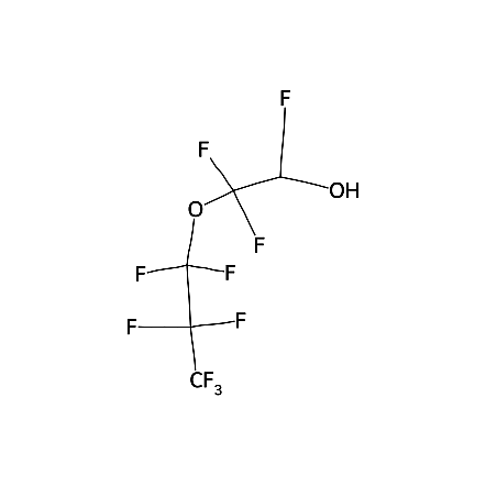 OC(F)C(F)(F)OC(F)(F)C(F)(F)C(F)(F)F